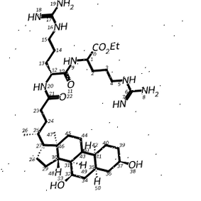 CCOC(=O)C(CCCNC(=N)N)NC(=O)[C@H](CCCNC(=N)N)NC(=O)CC[C@@H](C)[C@H]1CC[C@H]2[C@@H]3[C@H](O)C[C@@H]4C[C@H](O)CC[C@]4(C)[C@H]3CC[C@]12C